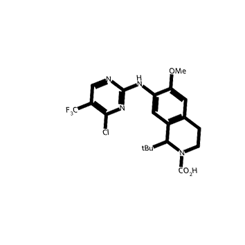 COc1cc2c(cc1Nc1ncc(C(F)(F)F)c(Cl)n1)C(C(C)(C)C)N(C(=O)O)CC2